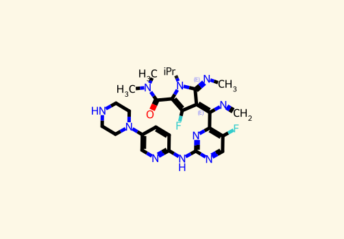 C=N/C(=C1/C(F)=C(C(=O)N(C)C)N(C(C)C)/C1=N/C)c1nc(Nc2ccc(N3CCNCC3)cn2)ncc1F